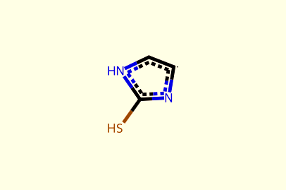 Sc1n[c]c[nH]1